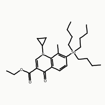 CCC[CH2][Sn]([CH2]CCC)([CH2]CCC)[c]1ccc2c(=O)c(C(=O)OCC)cn(C3CC3)c2c1C